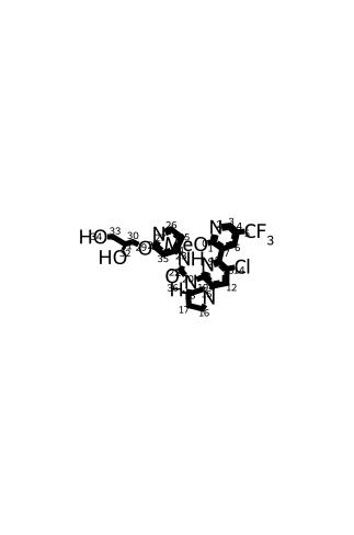 COc1ncc(C(F)(F)F)cc1-c1nc2c(cc1Cl)N1CC[C@@H](C1)N2C(=O)Nc1ccnc(OC[C@@H](O)CO)c1